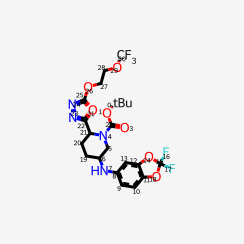 CC(C)(C)OC(=O)N1CC(Nc2ccc3c(c2)OC(F)(F)O3)CCC1c1nnc(OCCOC(F)(F)F)o1